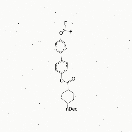 CCCCCCCCCCC1CCC(C(=O)Oc2ccc(-c3ccc(OC(F)F)cc3)cc2)CC1